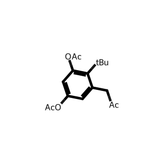 CC(=O)Cc1cc(OC(C)=O)cc(OC(C)=O)c1C(C)(C)C